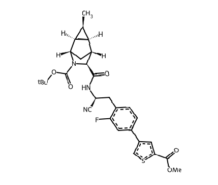 COC(=O)c1cc(-c2ccc(C[C@@H](C#N)NC(=O)[C@@H]3[C@@H]4C[C@@H]([C@H]5[C@@H](C)[C@@H]45)N3C(=O)OC(C)(C)C)c(F)c2)cs1